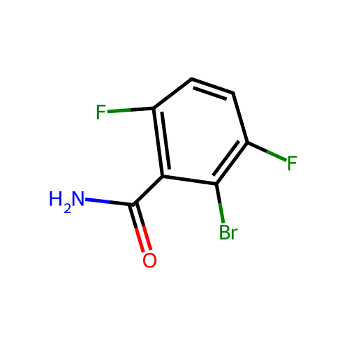 NC(=O)c1c(F)ccc(F)c1Br